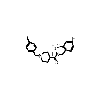 O=C(NCc1ccc(F)cc1C(F)(F)F)C1CCN(Cc2ccc(I)cc2)CC1